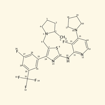 CC1CCCN1Cc1sc(Nc2nccc(N3CCCC3)c2F)nc1-c1cc(F)cc(C(F)(F)F)c1